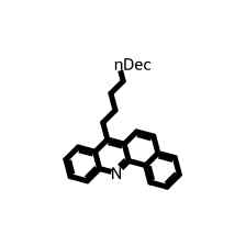 CCCCCCCCCCCCCCc1c2ccccc2nc2c1ccc1ccccc12